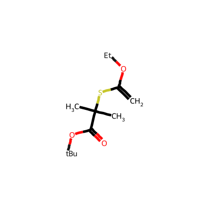 C=C(OCC)SC(C)(C)C(=O)OC(C)(C)C